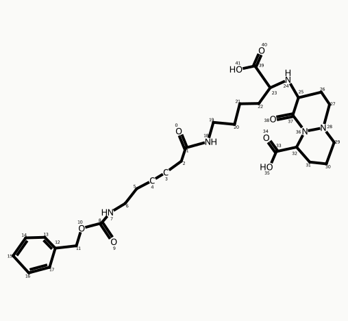 O=C(CCCCCNC(=O)OCc1ccccc1)NCCCCC(NC1CCN2CCCC(C(=O)O)N2C1=O)C(=O)O